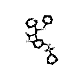 O=C1Nc2ccc(NS(=O)(=O)c3ccccc3)cc2C1=C(Nc1ccccc1)c1ccccc1